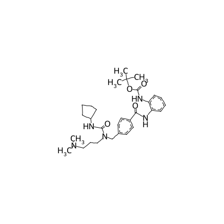 CN(C)CCCN(Cc1ccc(C(=O)Nc2ccccc2NC(=O)OC(C)(C)C)cc1)C(=O)NC1CCCC1